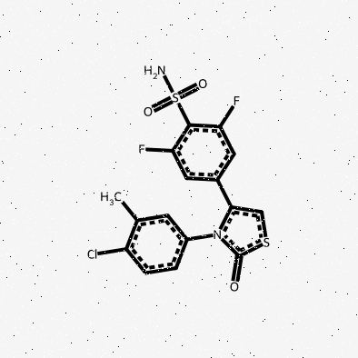 Cc1cc(-n2c(-c3cc(F)c(S(N)(=O)=O)c(F)c3)csc2=O)ccc1Cl